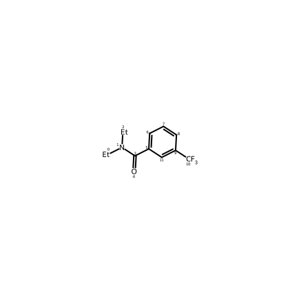 CCN(CC)C(=O)c1cccc(C(F)(F)F)c1